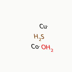 O.S.[Co].[Cu]